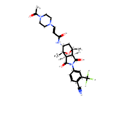 CC(=O)N1CCN(C=CC(=O)N[C@@H]2C[C@@]3(C)O[C@]2(C)[C@@H]2C(=O)N(c4ccc(C#N)c(C(F)(F)F)c4)C(=O)[C@@H]23)CC1